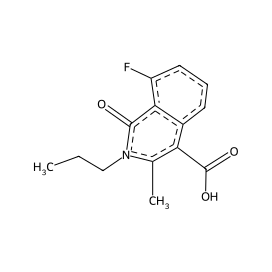 CCCn1c(C)c(C(=O)O)c2cccc(F)c2c1=O